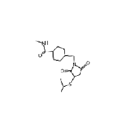 CNC(=O)C1CCC(CN2C(=O)CC(SC(C)C)C2=O)CC1